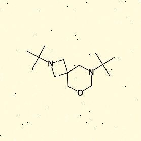 CC(C)(C)N1COCC2(C1)CN(C(C)(C)C)C2